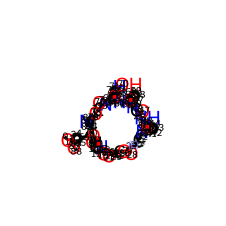 COc1ccc(CC[C@H]2OC(=O)[C@@H]3CCCCN3C(=O)C(=O)C(C)(C)COC(=O)/C=C/CCN(C)C(=O)[C@@H](Cc3ccccc3)NC(=O)CN(C)C(=O)[C@@H](Cc3ccccc3)NC(=O)[C@H](Cc3ccc(O)cc3)N(C)C(=O)COc3cncc2c3)cc1OC